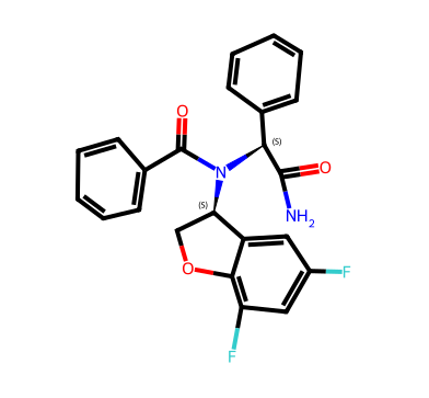 NC(=O)[C@H](c1ccccc1)N(C(=O)c1ccccc1)[C@@H]1COc2c(F)cc(F)cc21